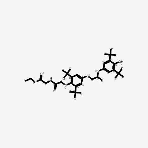 CCOC(=O)CNC(=O)COc1c(C(C)(C)C)cc(SCC(C)Sc2cc(C(C)(C)C)c(O)c(C(C)(C)C)c2)cc1C(C)(C)C